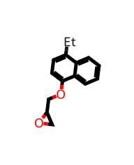 CCc1ccc(OCC2CO2)c2ccccc12